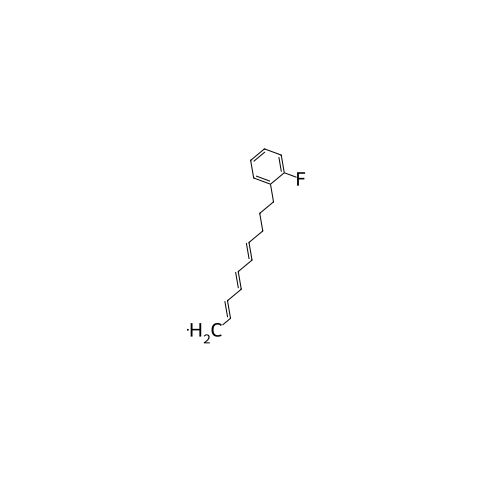 [CH2]C=CC=CC=CCCCc1ccccc1F